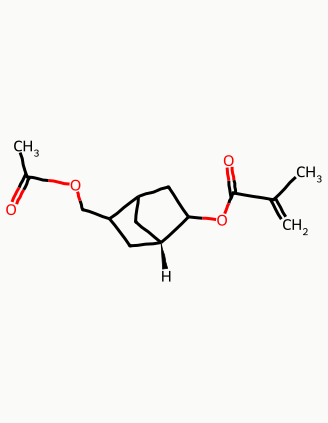 C=C(C)C(=O)OC1CC2C[C@H]1CC2COC(C)=O